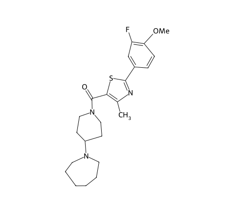 COc1ccc(-c2nc(C)c(C(=O)N3CCC(N4CCCCCC4)CC3)s2)cc1F